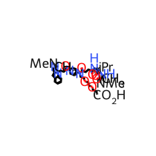 CNC(=O)[C@H](C)NC(=O)[C@@H](NC(=O)CCC(=O)N(CCOCCOCCC(=O)O)C1CCN(C(=O)CCn2c(CN(C)NC)cc3ccccc32)CC1)C(C)C